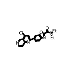 CCN(CC)C(=O)c1nc2ccc(-c3cc(Cl)c4cnccc4n3)cc2o1